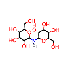 CCN(C1O[C@H](CO)[C@@H](O)[C@H](O)[C@H]1O)C1O[C@H](CO)[C@@H](O)[C@H](O)[C@H]1O